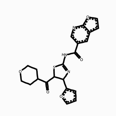 O=C(NC1=NC(c2ccco2)C(C(=O)C2CCOCC2)S1)c1cnc2occc2c1